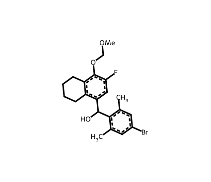 COCOc1c(F)cc(C(O)c2c(C)cc(Br)cc2C)c2c1CCCC2